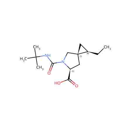 CC[C@@H]1C[C@]12C[C@@H](C(=O)O)N(C(=O)NC(C)(C)C)C2